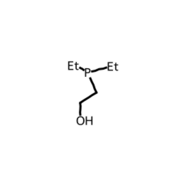 CCP(CC)CCO